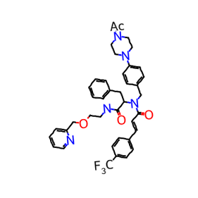 CC(=O)N1CCN(c2ccc(CN(C(=O)C=Cc3ccc(C(F)(F)F)cc3)C(Cc3ccccc3)C(=O)N(C)CCOCc3ccccn3)cc2)CC1